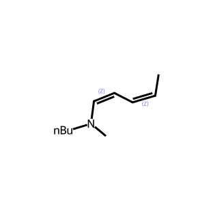 C/C=C\C=C/N(C)CCCC